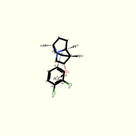 CO[C@@H]1CN2[C@@H]3CC[C@H]2[C@H]1[C@H](c1ccc(Cl)c(Cl)c1)C3